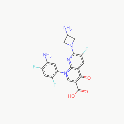 Nc1cc(-n2cc(C(=O)O)c(=O)c3cc(F)c(N4CC(N)C4)nc32)c(F)cc1F